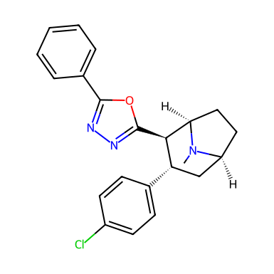 CN1[C@H]2CC[C@@H]1[C@H](c1nnc(-c3ccccc3)o1)[C@@H](c1ccc(Cl)cc1)C2